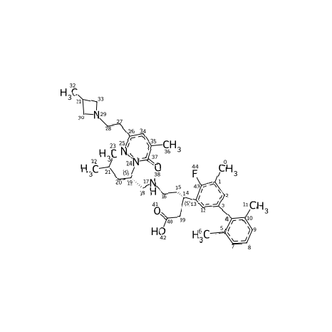 Cc1cc(-c2c(C)cccc2C)cc([C@@H](CCNC[C@H](CC(C)C)n2nc(CCN3CC(C)C3)cc(C)c2=O)CC(=O)O)c1F